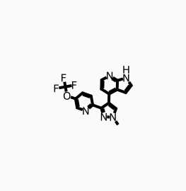 Cn1cc(-c2ccnc3[nH]ccc23)c(-c2ccc(OC(F)(F)F)cn2)n1